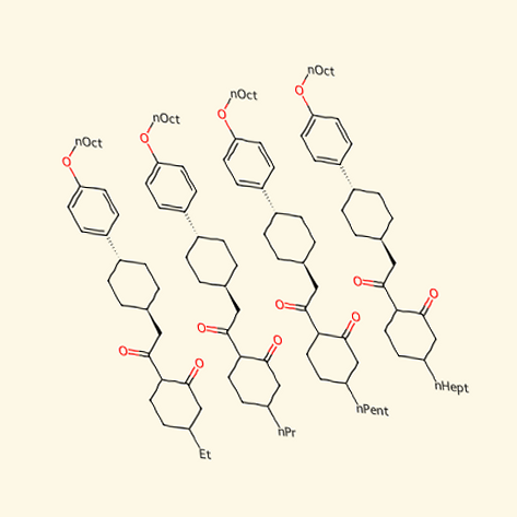 CCCCCCCCOc1ccc([C@H]2CC[C@H](CC(=O)C3CCC(CC)CC3=O)CC2)cc1.CCCCCCCCOc1ccc([C@H]2CC[C@H](CC(=O)C3CCC(CCC)CC3=O)CC2)cc1.CCCCCCCCOc1ccc([C@H]2CC[C@H](CC(=O)C3CCC(CCCCC)CC3=O)CC2)cc1.CCCCCCCCOc1ccc([C@H]2CC[C@H](CC(=O)C3CCC(CCCCCCC)CC3=O)CC2)cc1